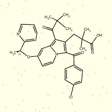 C[C@H](Oc1ccn2c(C(=O)c3ccc(Cl)cc3)c(CC(C)(C)C(=O)O)c(C(=O)C(C)(C)C)c2c1)c1ccccn1